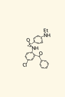 C=S(=O)(Nc1ccc(Cl)cc1C(=O)c1ccccc1)c1ccc(NCC)cc1